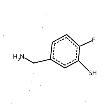 NCc1ccc(F)c(S)c1